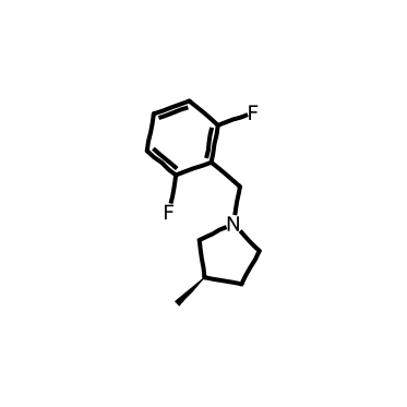 C[C@@H]1CCN(Cc2c(F)cccc2F)C1